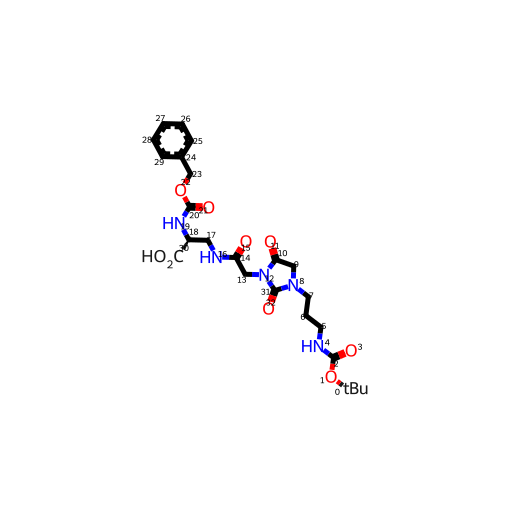 CC(C)(C)OC(=O)NCCCN1CC(=O)N(CC(=O)NC[C@H](NC(=O)OCc2ccccc2)C(=O)O)C1=O